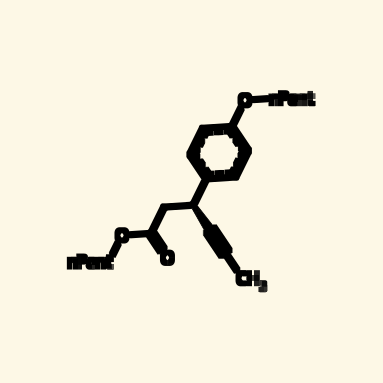 CC#C[C@@H](CC(=O)OCCCCC)c1ccc(OCCCCC)cc1